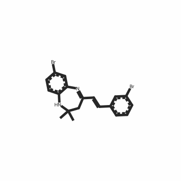 CC1(C)CC(/C=C/c2cccc(Br)c2)=Nc2cc(Br)ccc2N1